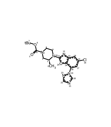 C[C@H]1CN(C(=O)OC(C)(C)C)CCN1c1nc2cc(Cl)cc(-n3cncn3)c2o1